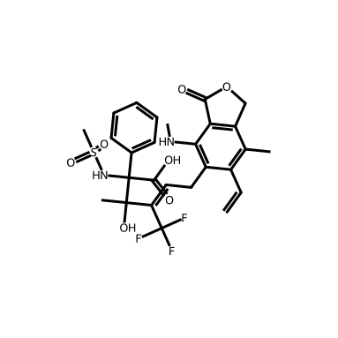 C=Cc1c(C)c2c(c(NC)c1CC=C(C(F)(F)F)C(C)(O)C(NS(C)(=O)=O)(C(=O)O)c1ccccc1)C(=O)OC2